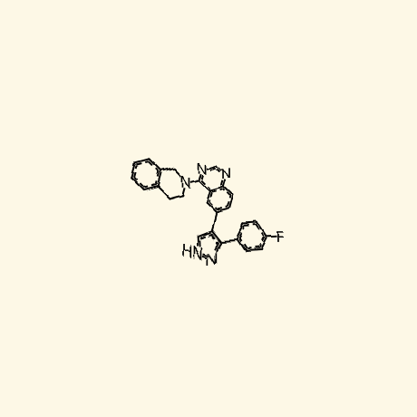 Fc1ccc(-c2n[nH]cc2-c2ccc3ncnc(N4CCc5ccccc5C4)c3c2)cc1